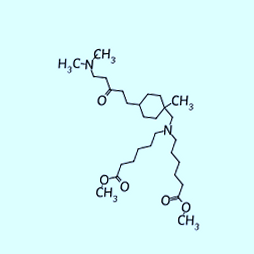 COC(=O)CCCCCN(CCCCCC(=O)OC)CC1(C)CCC(CCC(=O)CCN(C)C)CC1